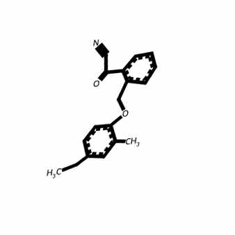 CCc1ccc(OCc2ccccc2C(=O)C#N)c(C)c1